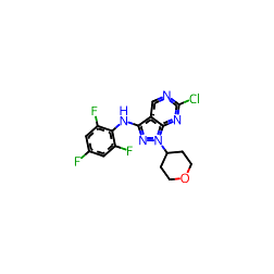 Fc1cc(F)c(Nc2nn(C3CCOCC3)c3nc(Cl)ncc23)c(F)c1